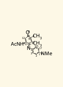 CNc1ccc(N=C2C=C(C)C(=O)C=C2NC(C)=O)c(C)c1